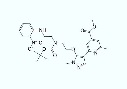 COC(=O)c1cc(C)nc(-c2cnn(C)c2OCCN(CCNc2ccccc2[N+](=O)[O-])C(=O)OC(C)(C)C)c1